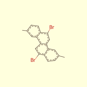 Cc1ccc2c(Br)cc3c4cc(C)ccc4c(Br)cc3c2c1